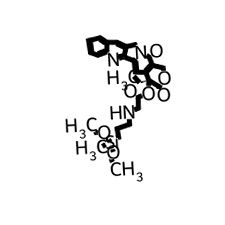 CCO[Si](C)(CCCNCC(=O)O[C@]1(CC)C(=O)OCc2c1cc1n(c2=O)Cc2cc3ccccc3nc2-1)OCC